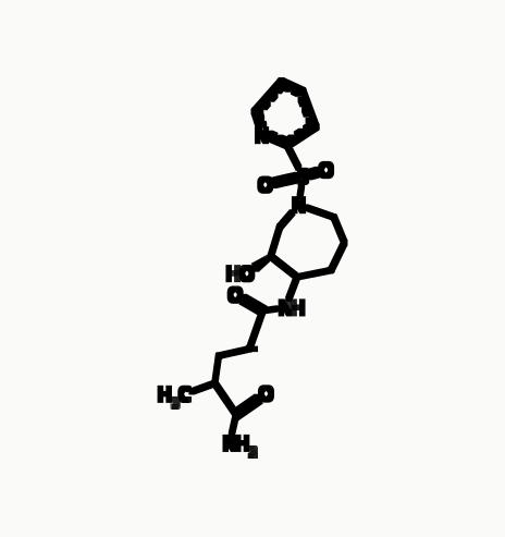 CC(C[CH]C(=O)NC1CCCN(S(=O)(=O)c2ccccn2)C[C@@H]1O)C(N)=O